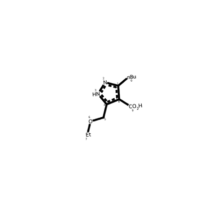 CCCCc1n[nH]c(COCC)c1C(=O)O